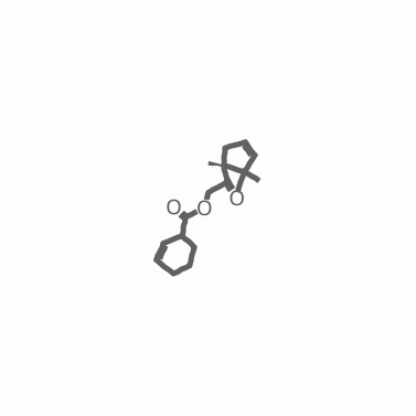 CC1(C)C=CC[C@@]1(C)C(=O)COC(=O)C1C=CCCC1